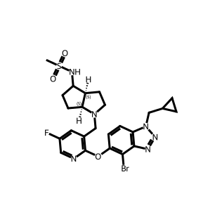 CS(=O)(=O)NC1CC[C@H]2[C@@H]1CCN2Cc1cc(F)cnc1Oc1ccc2c(nnn2CC2CC2)c1Br